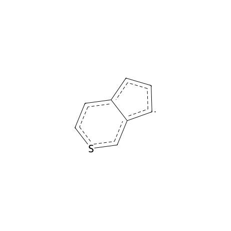 [c]1ccc2ccscc1-2